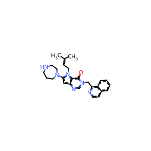 CC(C)=CCn1c(N2CCCNCC2)cc2ncn(Cc3nccc4ccccc34)c(=O)c21